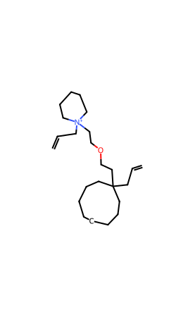 C=CCC1(CCOCC[N+]2(CC=C)CCCCC2)CCCCCCCC1